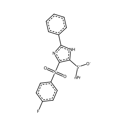 CCC[S+]([O-])c1[nH]c(-c2ccccc2)nc1S(=O)(=O)c1ccc(F)cc1